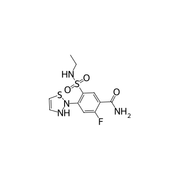 CCNS(=O)(=O)c1cc(C(N)=O)c(F)cc1N1NC=CS1